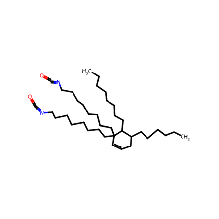 CCCCCCCCC1C(CCCCCC)CC=CC1(CCCCCCCCN=C=O)CCCCCCCCN=C=O